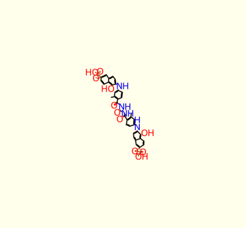 Cc1cc(Nc2ccc3cc(S(=O)(=O)O)ccc3c2O)ccc1C(=O)NC(=O)NC(=O)c1ccc(Nc2ccc3cc(S(=O)(=O)O)ccc3c2O)cc1C